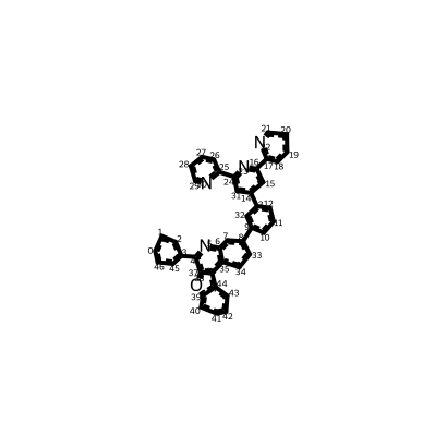 c1ccc(-c2nc3cc(-c4cccc(-c5cc(-c6ccccn6)nc(-c6ccccn6)c5)c4)ccc3c3c2oc2ccccc23)cc1